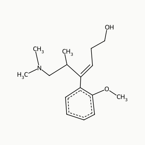 COc1ccccc1C(=CCCO)C(C)CN(C)C